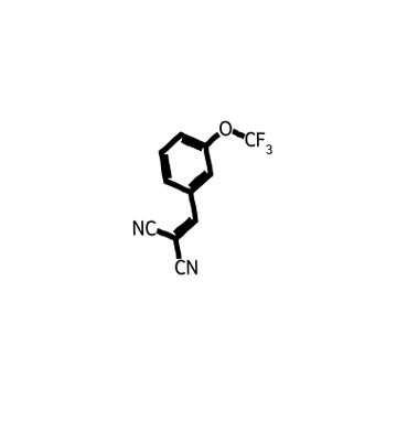 N#CC(C#N)=Cc1cccc(OC(F)(F)F)c1